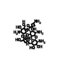 NC(CO)CNC[C@H]1O[C@H](OC2[C@@H](N)C[C@@H](NC(=O)C3(O)CC(N)C3)[C@H](O[C@H]3O[C@H](CO)[C@@H](O)[C@H](N)[C@H]3O)[C@H]2O)[C@H](N)[C@@H](O)[C@@H]1O